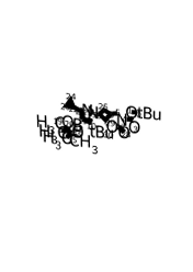 CC(C)(C)OC(=O)N(CC1CC(n2cc(B3OC(C)(C)C(C)(C)O3)c(C3CC3)n2)C1)C(=O)OC(C)(C)C